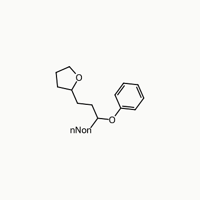 CCCCCCCCCC(CCC1CCCO1)Oc1ccccc1